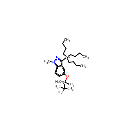 CCC[CH2][Sn]([CH2]CCC)([CH2]CCC)[c]1nn(C)c2ccc(O[Si](C)(C)C(C)(C)C)cc12